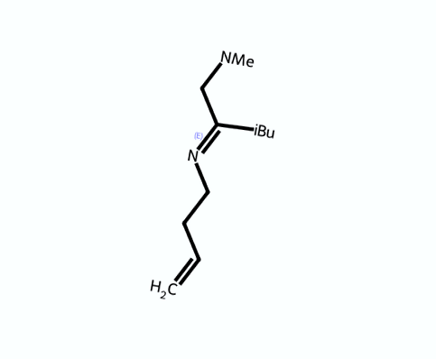 C=CCC/N=C(/CNC)C(C)CC